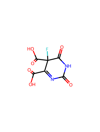 O=C1N=C(C(=O)O)C(F)(C(=O)O)C(=O)N1